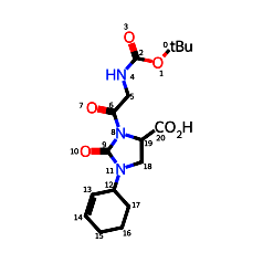 CC(C)(C)OC(=O)NCC(=O)N1C(=O)N(C2C=CCCC2)CC1C(=O)O